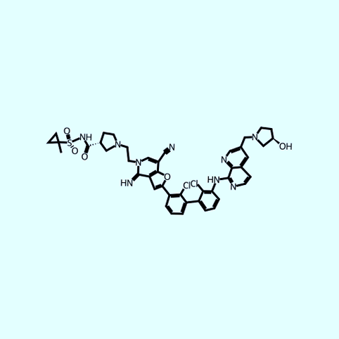 CC1(S(=O)(=O)NC(=O)[C@@H]2CCN(CCn3cc(C#N)c4oc(-c5cccc(-c6cccc(Nc7nccc8cc(CN9CC[C@@H](O)C9)cnc78)c6Cl)c5Cl)cc4c3=N)C2)CC1